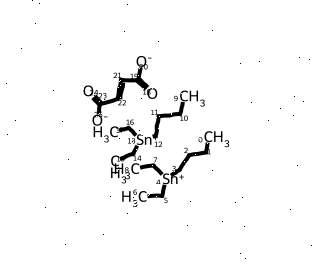 CCC[CH2][Sn+]([CH2]C)[CH2]C.CCC[CH2][Sn+]([CH2]C)[CH2]C.O=C([O-])C=CC(=O)[O-]